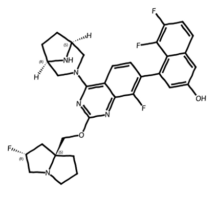 Oc1cc(-c2ccc3c(N4C[C@H]5CC[C@@H](C4)N5)nc(OC[C@@]45CCCN4C[C@H](F)C5)nc3c2F)c2c(F)c(F)ccc2c1